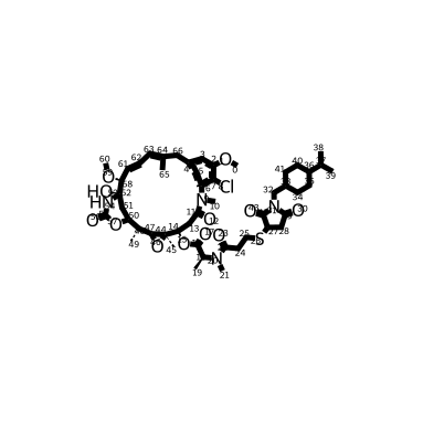 COc1cc2cc(c1Cl)N(C)C(=O)C[C@H](OC(=O)[C@H](C)N(C)C(=O)CCSC1CC(=O)N(CC3CCC(C(C)C)CC3)C1=O)[C@@]1(C)OC1[C@H](C)C1C[C@@](O)(NC(=O)O1)[C@H](OC)/C=C/C=C(\C)C2